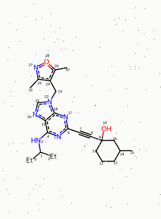 CCC(CC)Nc1nc(C#CC2(O)CCCC(C)C2)nc2c1ncn2Cc1c(C)noc1C